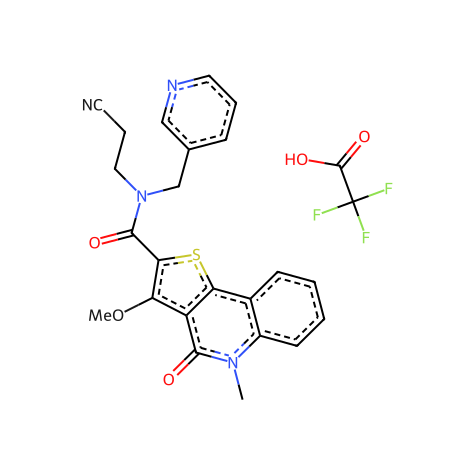 COc1c(C(=O)N(CCC#N)Cc2cccnc2)sc2c1c(=O)n(C)c1ccccc21.O=C(O)C(F)(F)F